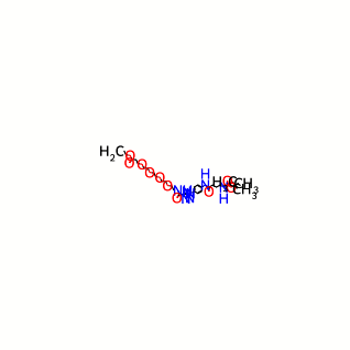 C=CCOC(=O)CCOCCOCCOCCOCCNC(=O)c1nnn(-c2ccc(NC(=O)CCCNC(=O)OC(C)(C)C)cc2)n1